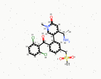 CCS(=O)(=O)Cc1ccc(C(=O)c2c(Cl)cccc2Cl)c(-c2cn(C)c(=O)cc2[C@H](C)N)c1